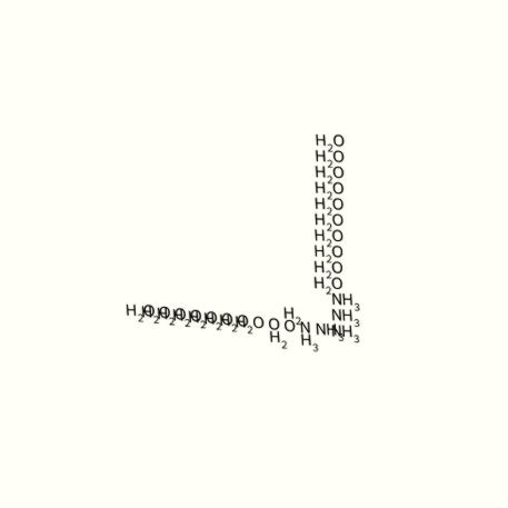 N.N.N.N.N.O.O.O.O.O.O.O.O.O.O.O.O.O.O.O.O.O.O.O.O